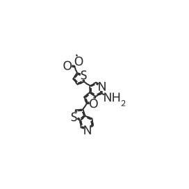 COC(=O)c1ccc(-c2cnc(N)c3oc(-c4csc5cnccc45)cc23)s1